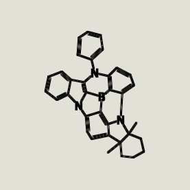 CC12CCCCC1(C)N1c3cccc4c3B3c5c(ccc2c51)-n1c3c(c2ccccc21)N4c1ccccc1